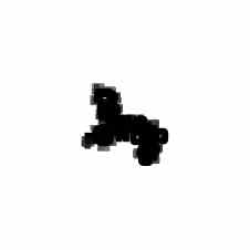 CC1(C(=O)N2CCOCC2)COC(c2nc(-c3ccc(F)cc3)c(-c3nc4ncc3C3CCCCN43)[nH]2)OC1